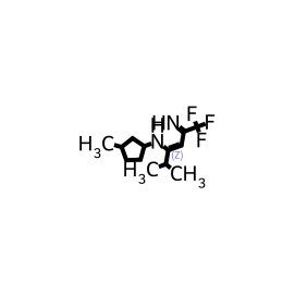 CC1CCC(N/C(=C\C(=N)C(F)(F)F)C(C)C)C1